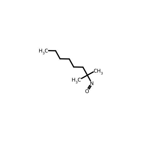 CCCCCCC(C)(C)N=O